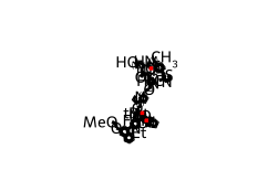 CCc1cccc2cc(OCOC)cc(-c3ncc4c(N5CC6CCC(C5)N6C(=O)OC(C)(C)C)nc(OC[C@@]56CCCN5[C@H](COc5cc([C@@H](C(=O)N7C[C@@H](O)C[C@H]7C(=O)N[C@@H](C)c7ccc(-c8scnc8C)cc7)C(C)C)on5)CC6)nc4c3F)c12